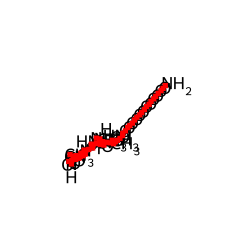 COc1ccc(C(=O)N2CCC3(CCN(CCc4ccc(-c5cc6c(-c7cc(F)cc(NC(=O)c8ccc(C(C)(C)OC(=O)CNC(=O)CCOCCOCCOCCOCCOCCOCCOCCOCCOCCOCCOCCOCCN)cc8F)c7C)ncnc6[nH]5)cc4)CC3)CC2)cc1N1CCC(=O)NC1=O